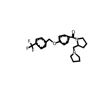 O=C(c1ccc(OCc2ccc(C(F)(F)F)cc2)cc1)N1CCCC1CN1CCCC1